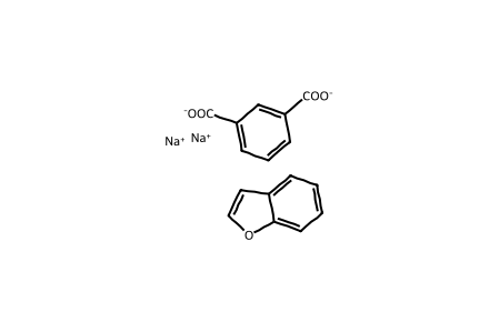 O=C([O-])c1cccc(C(=O)[O-])c1.[Na+].[Na+].c1ccc2occc2c1